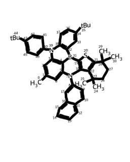 Cc1cc2c3c(c1)N(c1ccc4ccccc4c1)c1c(sc4c1C(C)(C)CCC4(C)C)B3c1cc(C(C)(C)C)ccc1N2c1ccc(C(C)(C)C)cc1